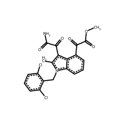 COC(=O)C(=O)c1cccc2c1c(C(=O)C(N)=O)c(C)n2Cc1c(Cl)cccc1Cl